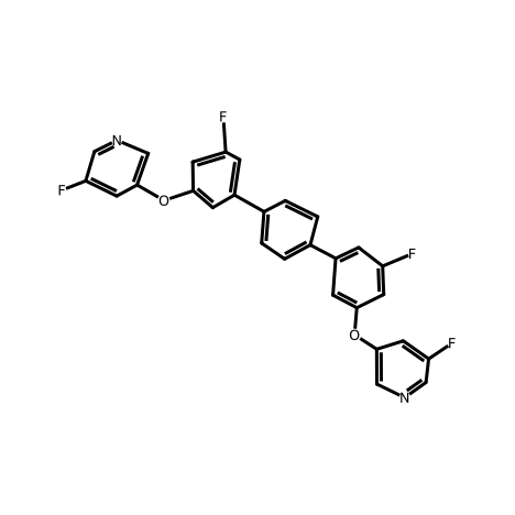 Fc1cncc(Oc2cc(F)cc(-c3ccc(-c4cc(F)cc(Oc5cncc(F)c5)c4)cc3)c2)c1